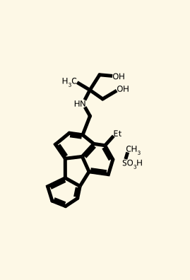 CCc1ccc2c3c(ccc(CNC(C)(CO)CO)c13)-c1ccccc1-2.CS(=O)(=O)O